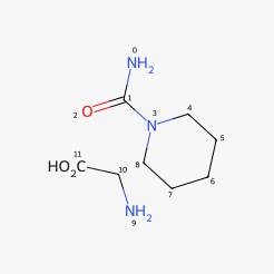 NC(=O)N1CCCCC1.NCC(=O)O